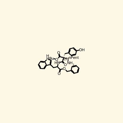 CCCCCN(N)[C@@](Cc1ccc(O)cc1)(C(=O)NC(Cc1c[nH]c2ccccc12)C(=O)OCc1ccccc1)C(=O)OC(C)(C)C